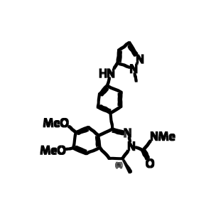 CNC(=O)N1N=C(c2ccc(Nc3ccnn3C)cc2)c2cc(OC)c(OC)cc2C[C@@H]1C